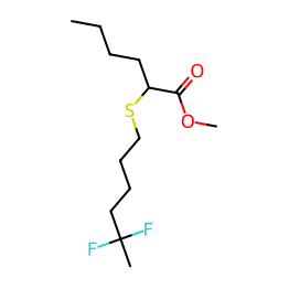 CCCCC(SCCCCC(C)(F)F)C(=O)OC